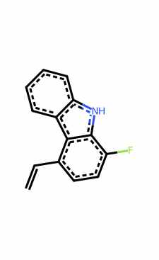 C=Cc1ccc(F)c2[nH]c3ccccc3c12